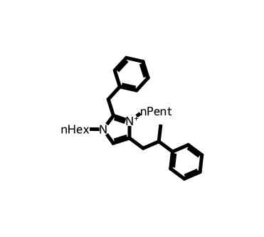 CCCCCCn1cc(CC(C)c2ccccc2)[n+](CCCCC)c1Cc1ccccc1